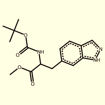 COC(=O)C(Cc1ccc2cn[nH]c2c1)NC(=O)OC(C)(C)C